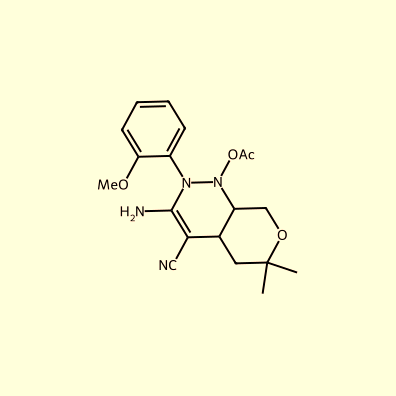 COc1ccccc1N1C(N)=C(C#N)C2CC(C)(C)OCC2N1OC(C)=O